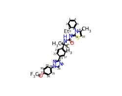 CCc1ccccc1-n1c(C)cs/c1=N\C(=O)NC(C)(C)c1ccc(-c2ncn(-c3ccc(OC(F)(F)F)cc3)n2)cc1